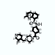 CC1C=Cc2cccc([S+]([O-])Nc3ccc(C(=O)N4CCN(Cc5ccncc5F)CC4)cc3)c2N1